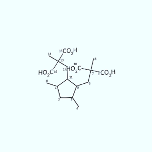 CC1CC(C)C(CC(C)(C(=O)O)C(=O)O)C1CC(C)(C(=O)O)C(=O)O